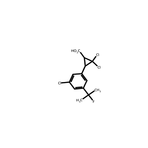 CC(C)(F)c1cc(Cl)cc(C2C(C(=O)O)C2(Cl)Cl)c1